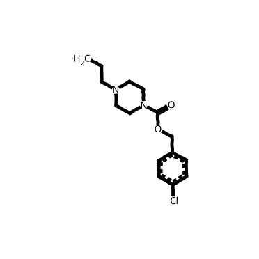 [CH2]CCN1CCN(C(=O)OCc2ccc(Cl)cc2)CC1